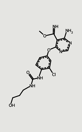 COC(=N)c1c(N)ncnc1Oc1ccc(NC(=O)NCCCO)c(Cl)c1